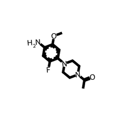 COc1cc(N2CCN(C(C)=O)CC2)c(F)cc1N